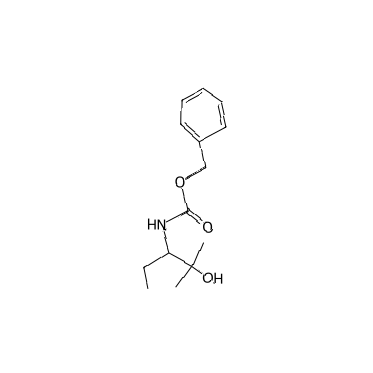 CCC(NC(=O)OCc1ccccc1)C(C)(C)O